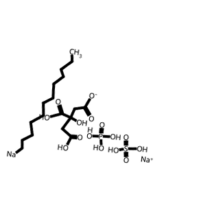 CCCCCCCCCCC[CH2][Na].O=C([O-])CC(O)(CC(=O)O)C(=O)O.O=P(O)(O)O.O=S(=O)(O)O.[Na+]